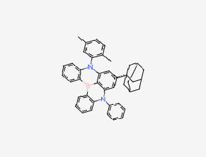 Cc1ccc(C)c(N2c3ccccc3B3c4ccccc4N(c4ccccc4)c4cc(C56CC7CC(CC(C7)C5)C6)cc2c43)c1